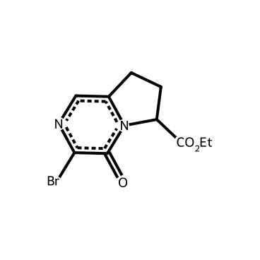 CCOC(=O)C1CCc2cnc(Br)c(=O)n21